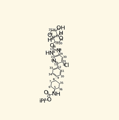 CC(C)OC(=O)N[C@H]1CC[C@H](c2ccc(-c3nc4[nH]c(O[C@@H]5CO[C@H]6[C@@H]5OC[C@H]6O)nc4cc3Cl)cc2)CC1